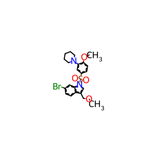 COCc1cn(S(=O)(=O)c2ccc(OC)c(N3CCCCC3)c2)c2cc(Br)ccc12